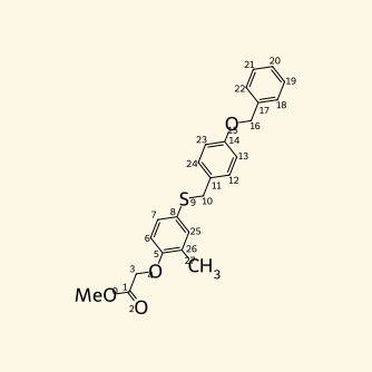 COC(=O)COc1ccc(SCc2ccc(OCc3ccccc3)cc2)cc1C